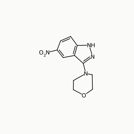 O=[N+]([O-])c1ccc2[nH]nc(N3CCOCC3)c2c1